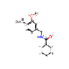 CCOc1cc(CNC(=O)C2CCCCC2)ccc1OC